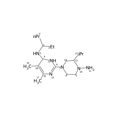 CCCC(CC)NC1NC(N2CCN(N)C(C(C)C)C2)=NC(C)=C1C